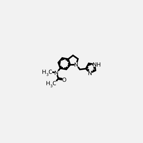 CC(=O)N(C)c1ccc2c(c1)N(Cc1c[nH]cn1)CC2